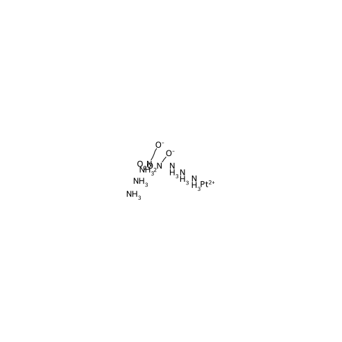 N.N.N.N.N.N.O=[N+]([O-])[O-].O=[N+]([O-])[O-].[Pt+2]